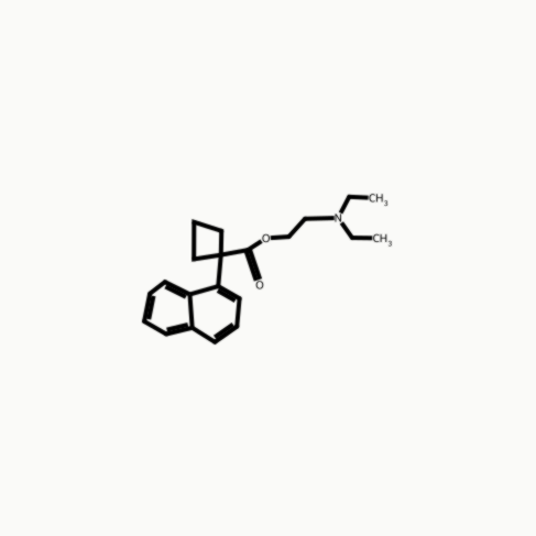 CCN(CC)CCOC(=O)C1(c2cccc3ccccc23)CCC1